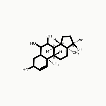 CC(=O)[C@@]1(O)CC[C@H]2[C@@H]3C(O)C(O)C4CC(O)C=C[C@]4(C)[C@H]3CC[C@@]21C